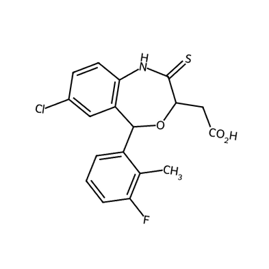 Cc1c(F)cccc1C1OC(CC(=O)O)C(=S)Nc2ccc(Cl)cc21